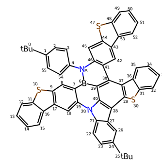 CC(C)(C)c1ccc(N2B3c4cc5sc6ccccc6c5cc4-n4c5ccc(C(C)(C)C)cc5c5c6sc7ccccc7c6c(c3c54)-c3cc4c(cc32)sc2ccccc24)cc1